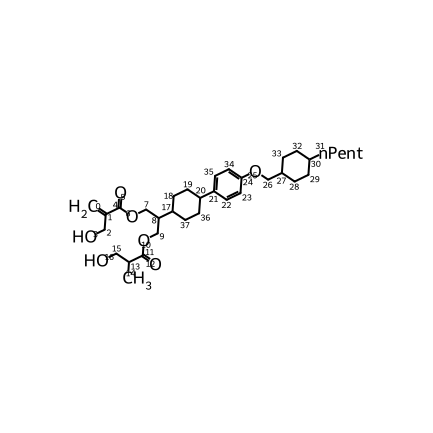 C=C(CO)C(=O)OCC(COC(=O)C(C)CO)C1CCC(c2ccc(OCC3CCC(CCCCC)CC3)cc2)CC1